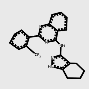 FC(F)(F)c1ccccc1-c1nc(Nc2n[nH]c3c2CCCC3)c2ccccc2n1